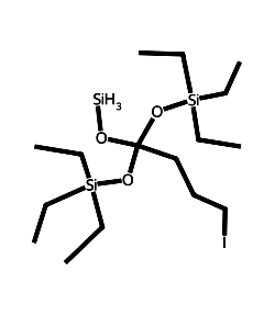 CC[Si](CC)(CC)OC(CCCI)(O[SiH3])O[Si](CC)(CC)CC